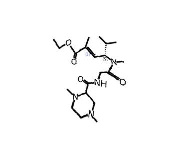 CCOC(=O)/C(C)=C/[C@H](C(C)C)N(C)C(=O)CNC(=O)C1CN(C)CCN1C